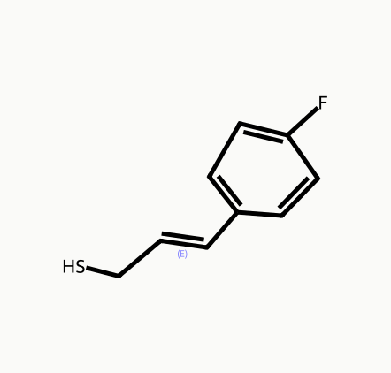 Fc1ccc(/C=C/CS)cc1